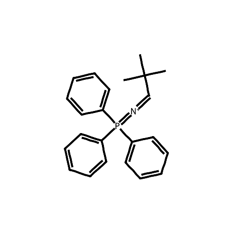 CC(C)(C)C=[N+]=P(c1ccccc1)(c1ccccc1)c1ccccc1